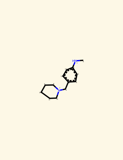 CNc1ccc(CN2CCCCC2)cc1